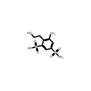 Cc1cc(S(N)(=O)=O)cc(S(=O)(=O)O)c1CCO